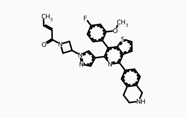 C/C=C/C(=O)N1CC(n2cc(-c3nc(-c4ccc5c(c4)CCNC5)c4ccsc4c3-c3ccc(F)cc3OC)cn2)C1